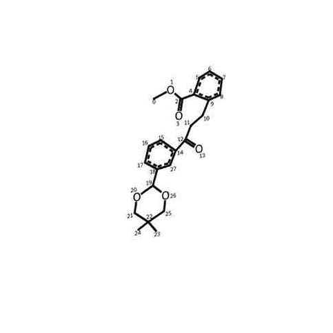 COC(=O)c1ccccc1CCC(=O)c1cccc(C2OCC(C)(C)CO2)c1